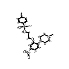 Cc1ccc(S(=O)(=O)OCCOc2cc([N+](=O)[O-])ccc2N2CCN(C)CC2)cc1